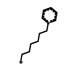 BrCCCCCC[n+]1ccccc1